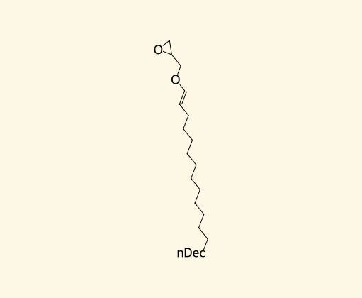 CCCCCCCCCCCCCCCCCCCCCC=COCC1CO1